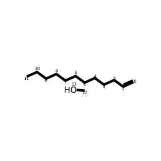 C=CCCCCCCCCCC.CO